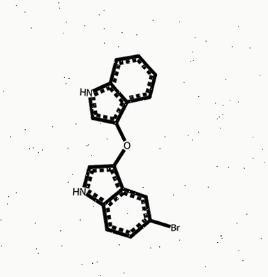 Brc1ccc2[nH]cc(Oc3c[nH]c4ccccc34)c2c1